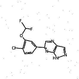 FC(F)Oc1cc(-c2cnc3cn[nH]c3n2)ccc1Cl